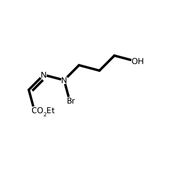 CCOC(=O)/C=N\N(Br)CCCO